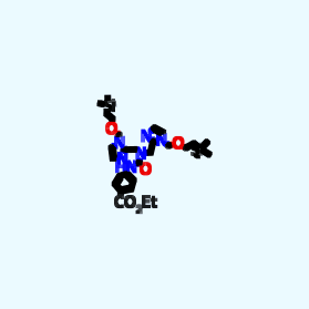 CCOC(=O)c1ccc(NC(=O)N(Cc2nccn2COCC[Si](C)(C)C)Cc2nccn2COCC[Si](C)(C)C)cc1